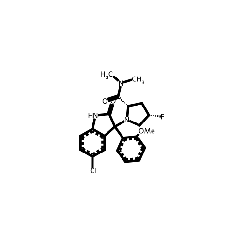 COc1ccccc1C1(N2C[C@@H](F)C[C@H]2C(=O)N(C)C)C(=O)Nc2ccc(Cl)cc21